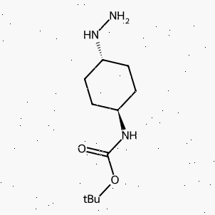 CC(C)(C)OC(=O)N[C@H]1CC[C@H](NN)CC1